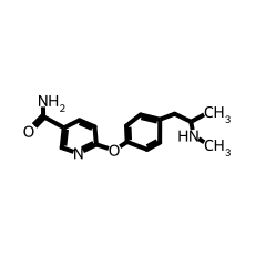 CNC(C)Cc1ccc(Oc2ccc(C(N)=O)cn2)cc1